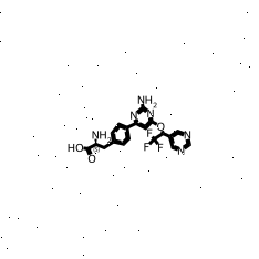 Nc1nc(OC(c2cncnc2)C(F)(F)F)cc(-c2ccc(C[C@H](N)C(=O)O)cc2)n1